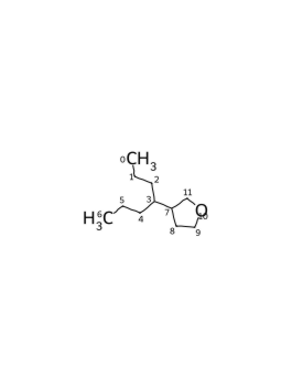 CCCC(CCC)C1CCOC1